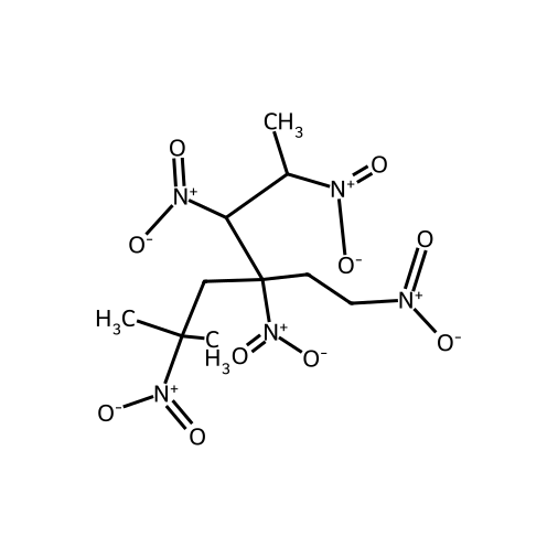 CC(C([N+](=O)[O-])C(CC[N+](=O)[O-])(CC(C)(C)[N+](=O)[O-])[N+](=O)[O-])[N+](=O)[O-]